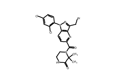 CC(C)Cc1nn(-c2ccc(Cl)cc2Cl)c2ccc(C(=O)N3CCNC(=O)C3(C)C)nc12